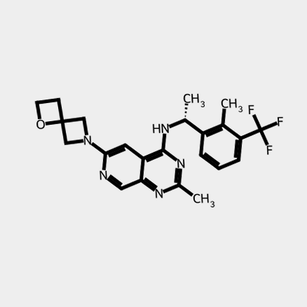 Cc1nc(N[C@H](C)c2cccc(C(F)(F)F)c2C)c2cc(N3CC4(CCO4)C3)ncc2n1